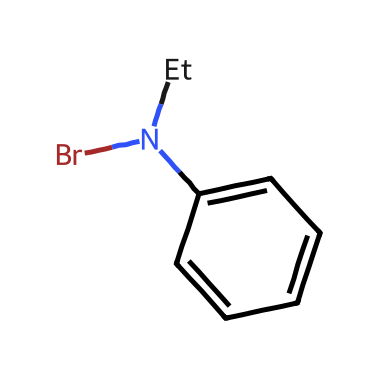 CCN(Br)c1ccccc1